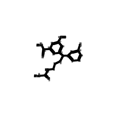 COC(=O)NCCOC(c1cccc(Cl)c1)c1cc(C=O)cc(C(=O)OC)c1